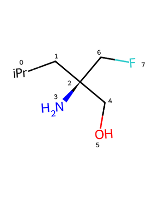 CC(C)C[C@@](N)(CO)CF